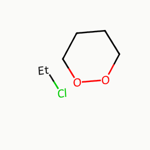 C1CCOOC1.CCCl